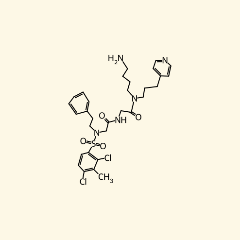 Cc1c(Cl)ccc(S(=O)(=O)N(CCc2ccccc2)CC(=O)NCC(=O)N(CCCCN)CCCc2ccncc2)c1Cl